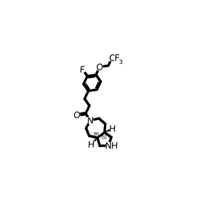 O=C(CCc1ccc(OCC(F)(F)F)c(F)c1)N1CC[C@@H]2CNC[C@@H]2CC1